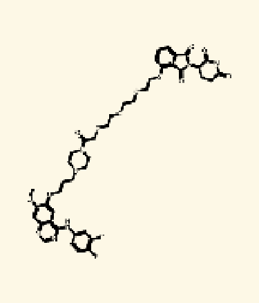 COc1cc2ncnc(Nc3ccc(F)c(Cl)c3)c2cc1OCCCN1CCN(C(=O)COCCOCCOCCSc2cccc3c2C(=O)N(C2CCC(=O)NC2=O)C3=O)CC1